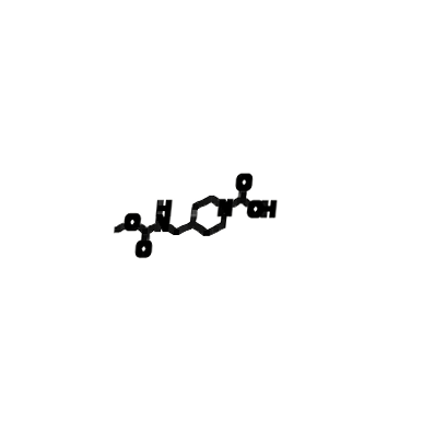 COC(=O)NCC1CCN(C(=O)O)CC1